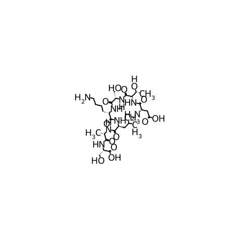 CC(C)C[C@H](NC(=O)[C@H](CCCCN)NC(=O)[C@H](CO)NC(=O)[C@@H](NC(=O)[C@@H](N)CC(=O)O)[C@@H](C)O)C(=O)N[C@@H](C)C(=O)N[C@@H](CO)C(=O)O